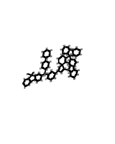 CC1(C)c2ccccc2-c2ccc(N(c3ccc(-c4ccccc4)cc3)c3cccc(C4=CC56CC=CC7=C5c5c(ccc8c9ccccc9n(c58)C6=C4)C74c5ccccc5-c5ccccc54)c3)cc21